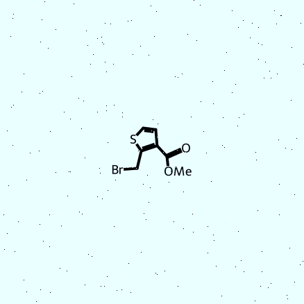 COC(=O)c1ccsc1CBr